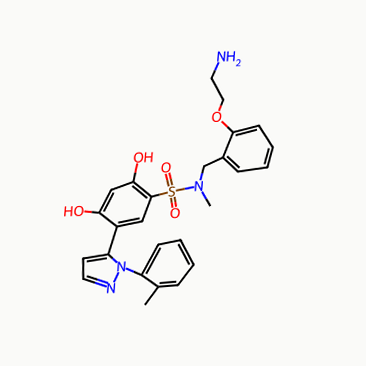 Cc1ccccc1-n1nccc1-c1cc(S(=O)(=O)N(C)Cc2ccccc2OCCN)c(O)cc1O